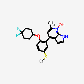 CCSc1ccc(OC2CCC(F)(F)CC2)c(-c2cc(C)[n+](O)c3[nH]ccc23)c1